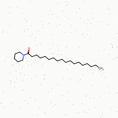 CCCCCCCCCCCCCCCCCC(=O)N1CCCCC1